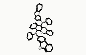 c1ccc(N(c2ccc3c(c2)oc2ccccc23)c2c3c(c(N(c4ccccc4)c4ccc5sc6ccccc6c5c4)c4ccccc24)Sc2ccccc2O3)cc1